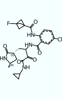 C[C@@H]1C[C@@H](CC(NC(=O)c2cc(Cl)ccc2NC(=O)C23CC(F)(C2)C3)C(=O)C(=O)NC2CC2)C(=O)N1